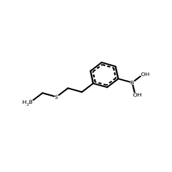 BCSCCc1cccc(B(O)O)c1